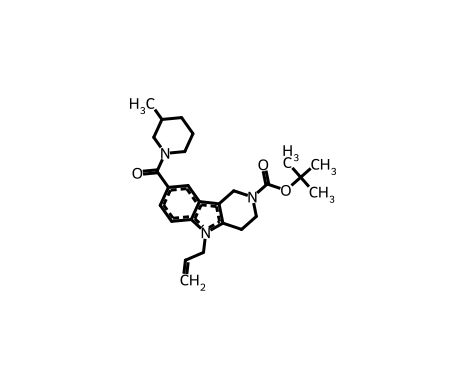 C=CCn1c2c(c3cc(C(=O)N4CCCC(C)C4)ccc31)CN(C(=O)OC(C)(C)C)CC2